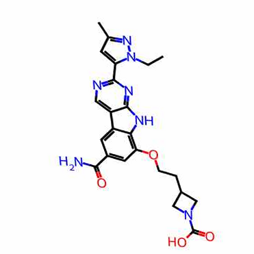 CCn1nc(C)cc1-c1ncc2c(n1)[nH]c1c(OCCC3CN(C(=O)O)C3)cc(C(N)=O)cc12